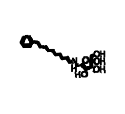 OC[C@]1(O)O[C@H](CNCCCCCCCCCCc2ccccc2)[C@H](O)[C@H]1O